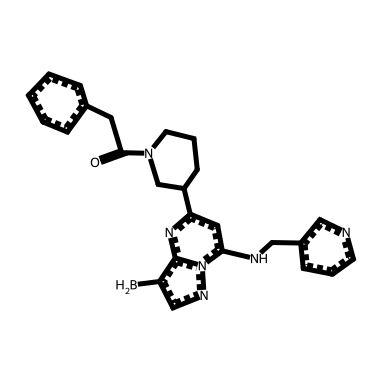 Bc1cnn2c(NCc3cccnc3)cc(C3CCCN(C(=O)Cc4ccccc4)C3)nc12